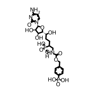 Nc1ccn([C@@H]2O[C@H](C(O)CCC(CNC(=O)OCc3ccc(P(=O)(O)O)cc3)P(=O)(O)O)[C@@H](O)[C@H]2O)c(=O)n1